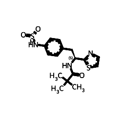 CC(C)(C)C(=O)N[C@@H](Cc1ccc(N[SH](=O)=O)cc1)c1nccs1